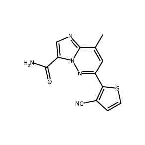 Cc1cc(-c2sccc2C#N)nn2c(C(N)=O)cnc12